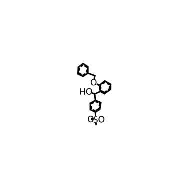 CS(=O)(=O)c1ccc(C(O)c2ccccc2OCc2ccccc2)cc1